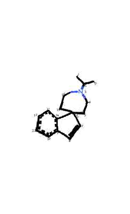 CC(C)N1CCC2(C=Cc3ccccc32)CC1